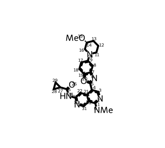 CNc1ncc(-c2nc3cc(N4CCC[C@@H](OC)C4)ccc3o2)c2cc(NC(=O)C3CC3)ncc12